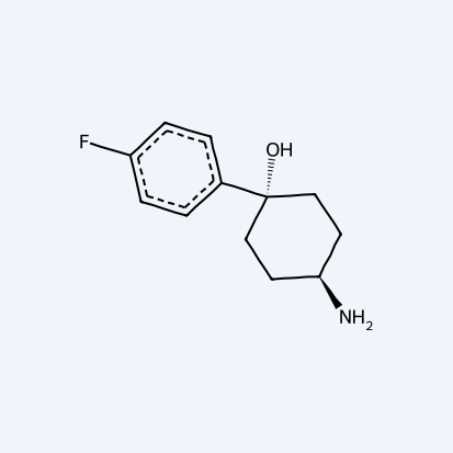 N[C@H]1CC[C@@](O)(c2ccc(F)cc2)CC1